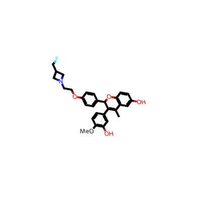 COc1ccc(C2=C(C)c3cc(O)ccc3OC2c2ccc(OCCN3CC(CF)C3)cc2)cc1O